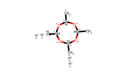 C[SiH]1O[SiH](C)O[SiH](C)O[SiH](C)O1.[H+].[H+].[H+].[H+]